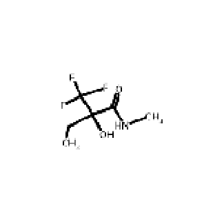 CCC(O)(C(=O)NC)C(F)(F)F